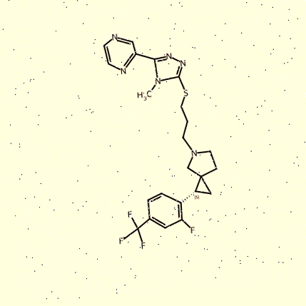 Cn1c(SCCCN2CCC3(C[C@@H]3c3ccc(C(F)(F)F)cc3F)C2)nnc1-c1cnccn1